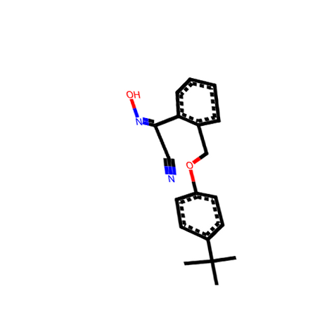 CC(C)(C)c1ccc(OCc2ccccc2/C(C#N)=N\O)cc1